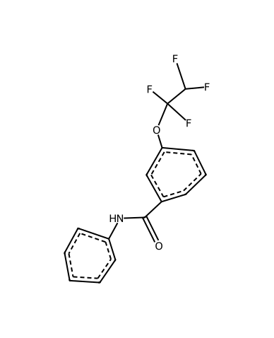 O=C(Nc1ccccc1)c1cccc(OC(F)(F)C(F)F)c1